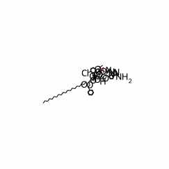 CCCCCCCCCCCCCCCCCCOC[C@H](COP(=O)(Oc1ccccc1Cl)OC1[C@H]2O[C@@](C#N)(c3ccc4c(N)ncnn34)[C@H](OC(=O)C(C)C)[C@@]12OC(=O)C(C)C)OCc1ccccc1